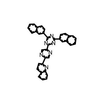 c1ccc2cc(-c3nc(-c4ccc5ccccc5c4)nc(-c4cnc(-c5ccc6ccccc6n5)cn4)n3)ccc2c1